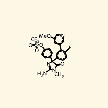 COc1cncc(-c2cc(C3(c4ccc(OS(=O)(=O)C(F)(F)F)cc4)N=C(N)N(C)C3=O)ccc2F)c1